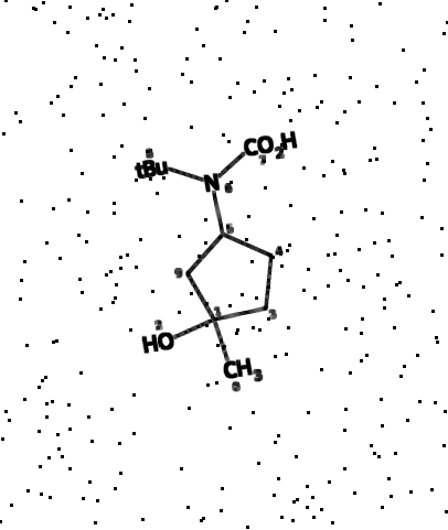 CC1(O)CCC(N(C(=O)O)C(C)(C)C)C1